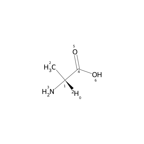 [2H][C@](C)(N)C(=O)O